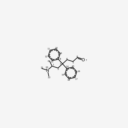 CC(CC(CCC=O)(c1ccccc1)c1ccccc1)N(C)C